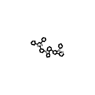 c1ccc(-c2cc(-c3ccccc3)nc(-c3cccc(-n4c5ccccc5c5c(-c6ccc7c8cccnc8n(-c8ccccc8)c7c6)cccc54)c3)n2)cc1